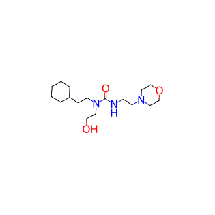 O=C(NCCN1CCOCC1)N(CCO)CCC1CCCCC1